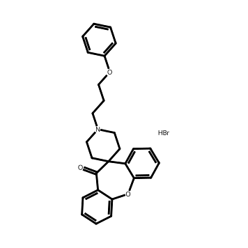 Br.O=C1c2ccccc2Oc2ccccc2C12CCN(CCCOc1ccccc1)CC2